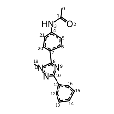 CC(=O)Nc1ccc(-c2nc(-c3ccccc3)nn2C)cc1